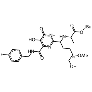 CO[C@H](CO)CCC(NC(C)C(=O)OC(C)(C)C)c1nc(C(=O)NCc2ccc(F)cc2)c(O)c(=O)[nH]1